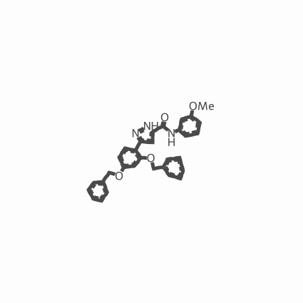 COc1cccc(NC(=O)c2cc(-c3ccc(OCc4ccccc4)cc3OCc3ccccc3)n[nH]2)c1